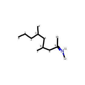 CCCC(C)CC(C)C/C(C)=N\C